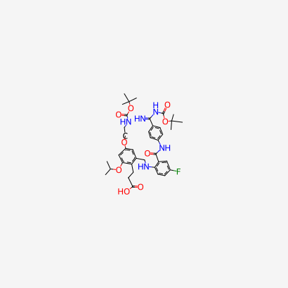 CC(C)Oc1cc(OCCNC(=O)OC(C)(C)C)cc(CNc2ccc(F)cc2C(=O)Nc2ccc(C(=N)NC(=O)OC(C)(C)C)cc2)c1CCC(=O)O